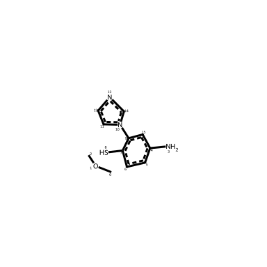 COC.Nc1ccc(S)c(-n2ccnc2)c1